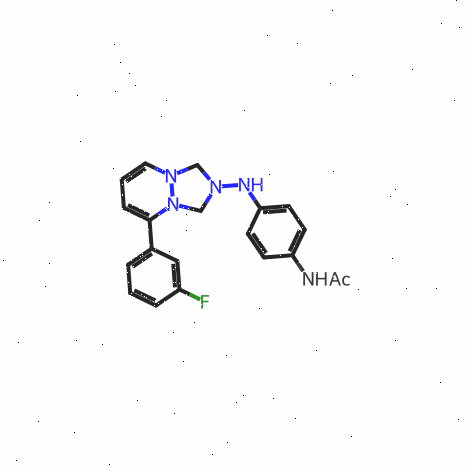 CC(=O)Nc1ccc(NN2CN3C=CC=C(c4cccc(F)c4)N3C2)cc1